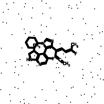 C=C=C/C(=C\C=C(/C)F)c1ncn(C2CCCCC2)c1-c1c(F)cnc2c1C(C)CN2